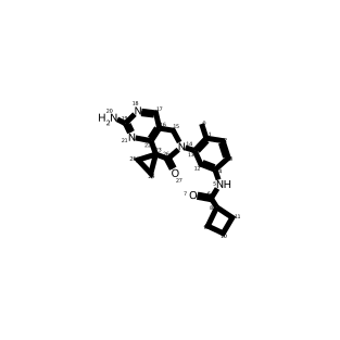 Cc1ccc(NC(=O)C2CCC2)cc1N1Cc2cnc(N)nc2C2(CC2)C1=O